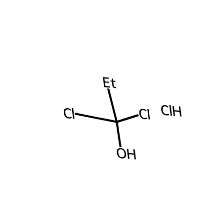 CCC(O)(Cl)Cl.Cl